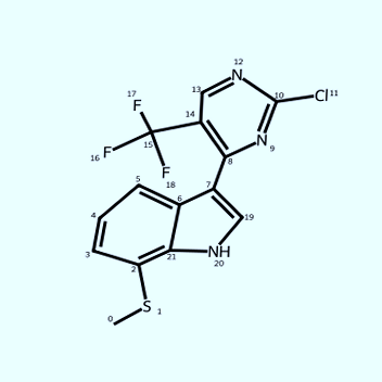 CSc1cccc2c(-c3nc(Cl)ncc3C(F)(F)F)c[nH]c12